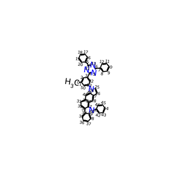 Cc1cc(-c2nc(-c3ccccc3)nc(-c3ccccc3)n2)cc(-n2ccc3cc4c(ccc5c6ccccc6n(-c6ccccc6)c45)cc32)c1